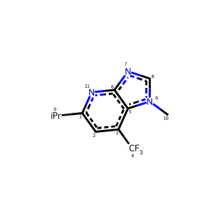 CC(C)c1cc(C(F)(F)F)c2c(ncn2C)n1